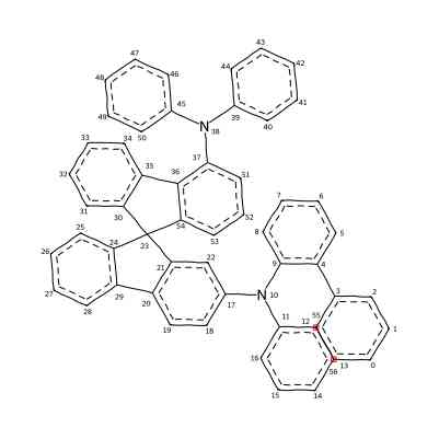 c1ccc(-c2ccccc2N(c2ccccc2)c2ccc3c(c2)C2(c4ccccc4-3)c3ccccc3-c3c(N(c4ccccc4)c4ccccc4)cccc32)cc1